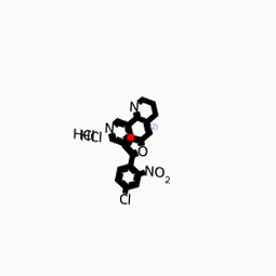 Cl.Cl.O=[N+]([O-])c1cc(Cl)ccc1-c1ccc(/C=C2/CCCN=C2c2cccnc2)o1